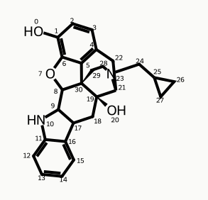 Oc1ccc2c3c1OC1C4Nc5ccccc5C4C[C@@]4(O)C(C2)N(CC2CC2)CC[C@]314